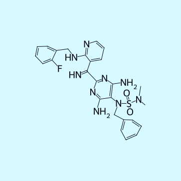 CN(C)S(=O)(=O)N(Cc1ccccc1)c1c(N)nc(C(=N)c2cccnc2NCc2ccccc2F)nc1N